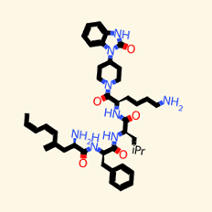 C=C(/C=C\C=C/C)C[C@@H](N)C(=O)N[C@H](Cc1ccccc1)C(=O)N[C@H](CC(C)C)C(=O)N[C@H](CCCCN)C(=O)N1CCC(n2c(=O)[nH]c3ccccc32)CC1